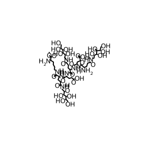 COC(=O)C(N)CCCCNC(=O)C(CCC(=O)NCC(O)C(O)C(O)C(O)CO)NC(=O)C(CCC(=O)O)NC(=O)C(CCC(=O)NCC(O)C(O)C(O)C(O)CO)NC(=O)C(CCC(=O)O)NC(=O)C(N)CCC(=O)NCC(O)C(O)C(O)C(O)CO